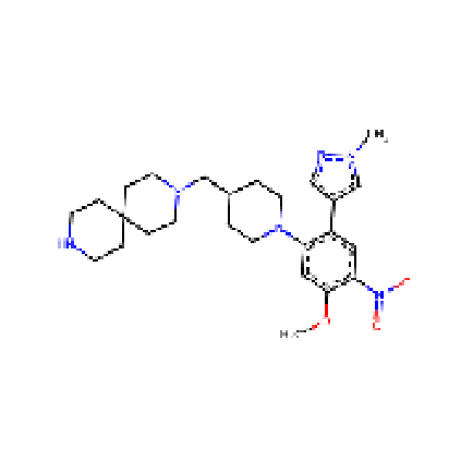 COc1cc(N2CCC(CN3CCC4(CCNCC4)CC3)CC2)c(-c2cnn(C)c2)cc1[N+](=O)[O-]